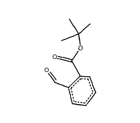 CC(C)(C)OC(=O)c1ccccc1C=O